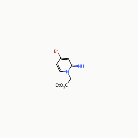 CCOC(=O)Cn1ccc(Br)cc1=N